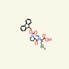 CC(C(=O)O)N1CC[C@@]2(CCCN2C(=O)OCC2c3ccccc3-c3ccccc32)C1=O